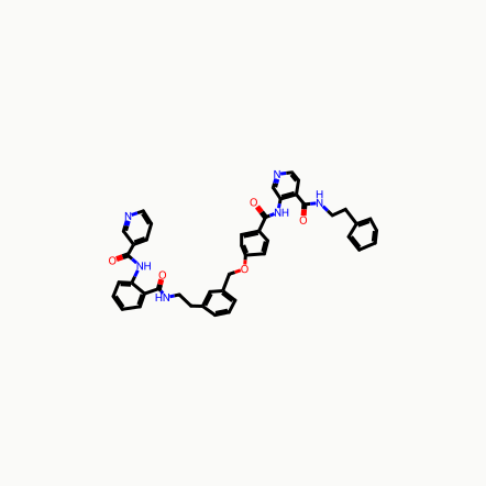 O=C(Nc1ccccc1C(=O)NCCc1cccc(COc2ccc(C(=O)Nc3cnccc3C(=O)NCCc3ccccc3)cc2)c1)c1cccnc1